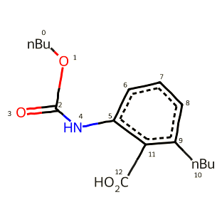 CCCCOC(=O)Nc1cccc(CCCC)c1C(=O)O